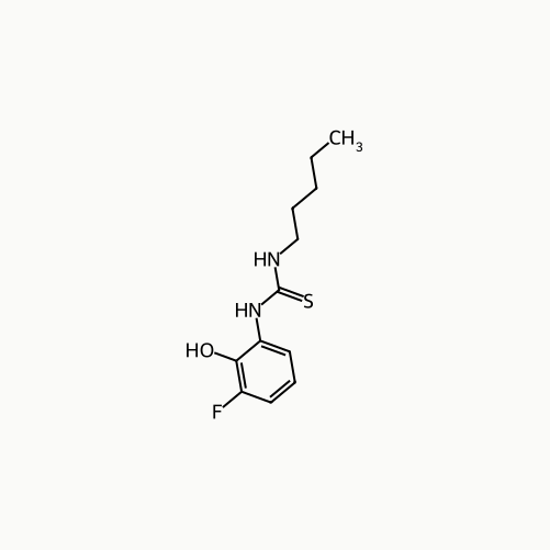 CCCCCNC(=S)Nc1cccc(F)c1O